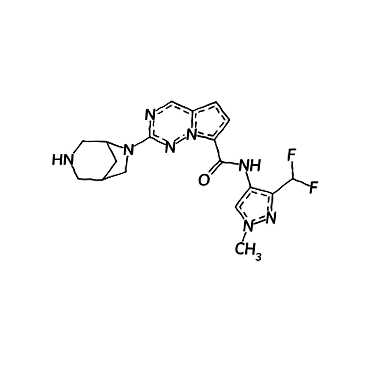 Cn1cc(NC(=O)c2ccc3cnc(N4CC5CNCC4C5)nn23)c(C(F)F)n1